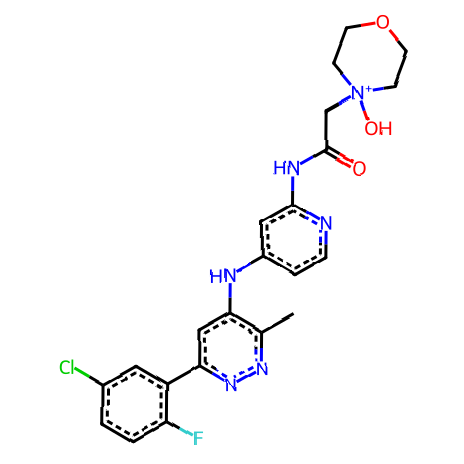 Cc1nnc(-c2cc(Cl)ccc2F)cc1Nc1ccnc(NC(=O)C[N+]2(O)CCOCC2)c1